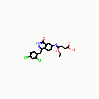 CCOC(CCC(=O)O)=Nc1ccc2c(Cc3ccc(Cl)cc3Cl)n[nH]c(=O)c2c1